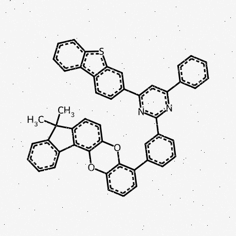 CC1(C)c2ccccc2-c2c1ccc1c2Oc2cccc(-c3cccc(-c4nc(-c5ccccc5)cc(-c5ccc6c(c5)sc5ccccc56)n4)c3)c2O1